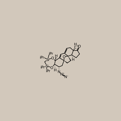 CC(C)[Si]1(C(C)C)C[Si](C(C)C)(C(C)C)O[C@@H]2C3=CC4=CC[C@]5(C)C(=O)CC[C@H]5[C@@]45CC[C@]3(C[C@H](N=[N+]=[N-])[C@H]2O1)O5